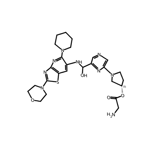 NCC(=O)O[C@H]1CCN(c2cncc(C(O)Nc3cc4sc(N5CCOCC5)nc4nc3N3CCCCC3)n2)C1